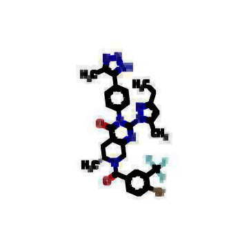 CCc1cc(C)n(-c2nc3c(c(=O)n2-c2ccc(-c4[nH]nnc4C)cc2)C[C@@H](C)N(C(=O)c2ccc(Br)c(C(F)(F)F)c2)C3)n1